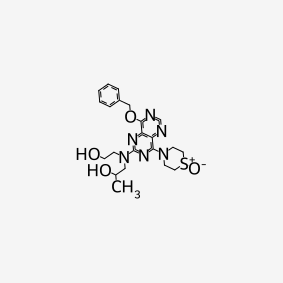 CC(O)CN(CCO)c1nc(N2CC[S+]([O-])CC2)c2ncnc(OCc3ccccc3)c2n1